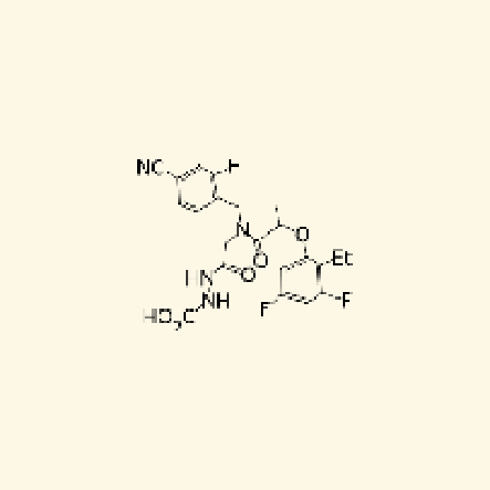 CCc1c(F)cc(F)cc1OC(C)C(=O)N(CC(=O)NNC(=O)O)Cc1ccc(C#N)cc1F